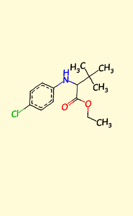 CCOC(=O)C(Nc1ccc(Cl)cc1)C(C)(C)C